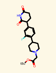 CC(C)(C)OC(=O)CN1CCC(c2ccc(C3CCC(=O)NC3=O)cc2F)CC1